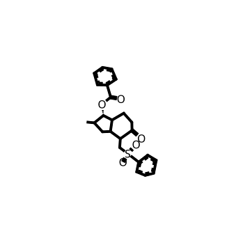 CC1CC2C(CS(=O)(=O)c3ccccc3)C(=O)CCC2[C@H]1OC(=O)c1ccccc1